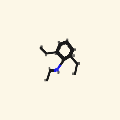 C/C=N/c1c(CC)cccc1CC